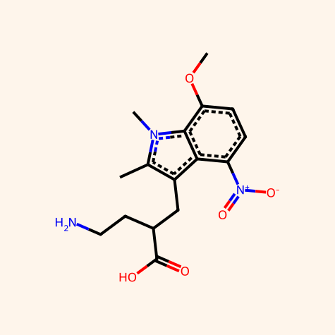 COc1ccc([N+](=O)[O-])c2c(CC(CCN)C(=O)O)c(C)n(C)c12